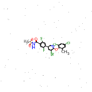 Cc1cc(Cl)cc(Cl)c1Oc1ncc(-c2cc(F)c(C(=O)NS(C)(=O)=O)cc2F)cc1Br